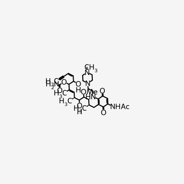 CC#C/C=C\C(O)C(OC(N)=O)/C(C)=C/[C@H](C)C(O)C(C[C@H](C)CC1=C(NCCN2CCN(C)CC2)C(=O)C=C(NC(C)=O)C1=O)OC